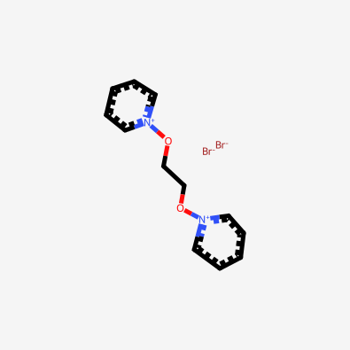 [Br-].[Br-].c1cc[n+](OCCO[n+]2ccccc2)cc1